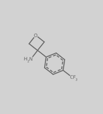 NC1(c2ccc(C(F)(F)F)cc2)COC1